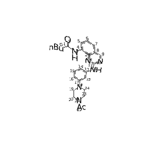 CCCCC(=O)Nc1cccc2cnc(Nc3cccc(N4CCN(C(C)=O)CC4)c3)nc12